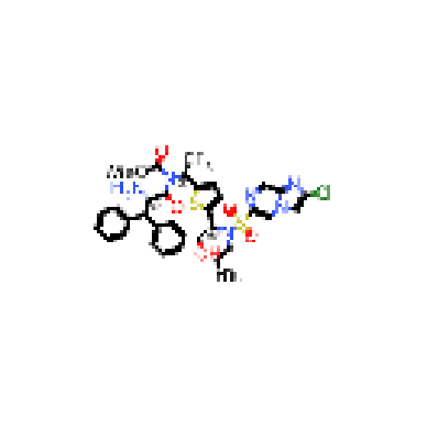 COC(=O)N(C(=O)[C@@H](N)C(c1ccccc1)c1ccccc1)[C@H](c1ccc([C@@H](CO)N(CCC(C)(C)C)S(=O)(=O)c2cn3cc(Cl)nc3cn2)s1)C(F)(F)F